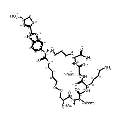 CCCCC[C@@H](NC(=O)[C@H](CSSCCCCOC(=O)Oc1ccc2nc(C3=N[C@@H](C(=O)O)CS3)sc2c1)NC(C)=O)C(=O)N[C@H](CCCCN)C(=O)N[C@H](CCCCC)C(=O)N[C@H](CCCCN)C(N)=O